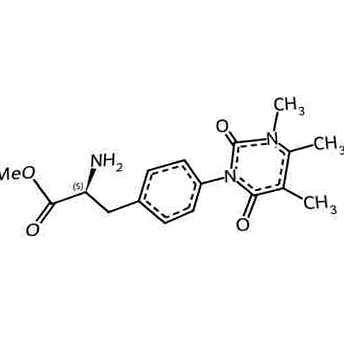 COC(=O)[C@@H](N)Cc1ccc(-n2c(=O)c(C)c(C)n(C)c2=O)cc1